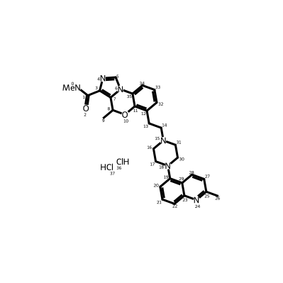 CNC(=O)c1ncn2c1C(C)Oc1c(CCN3CCN(c4cccc5nc(C)ccc45)CC3)cccc1-2.Cl.Cl